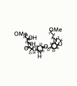 COCCCN1CCOc2ccc(CO[C@@H]3CC[C@@H](CC(C)(C)C(=O)NC[C@@H](O)COC)NC3)cc21